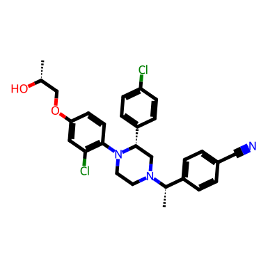 C[C@@H](O)COc1ccc(N2CCN([C@@H](C)c3ccc(C#N)cc3)C[C@H]2c2ccc(Cl)cc2)c(Cl)c1